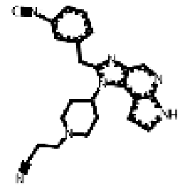 [C-]#[N+]c1cccc(Cc2nc3cnc4[nH]ccc4c3n2C2CCN(CCC#N)CC2)c1